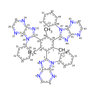 Cc1c(-c2nc3nccnc3n2-c2ccccc2)c(C)c(-c2nc3nccnc3n2-c2ccccc2)c(C)c1-c1nc2nccnc2n1-c1ccccc1